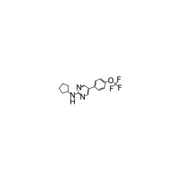 FC(F)(F)Oc1ccc(-c2cnc(NC3CCCC3)nc2)cc1